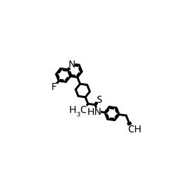 C#CCc1ccc(NC(=S)C(C)C2CCC(c3ccnc4ccc(F)cc34)CC2)cc1